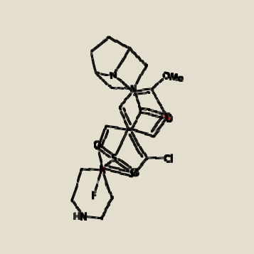 COc1ccc(S(=O)(=O)N2CCNCC2)cc1N1C2CCC1CN(C(=O)c1ccc(F)cc1Cl)C2